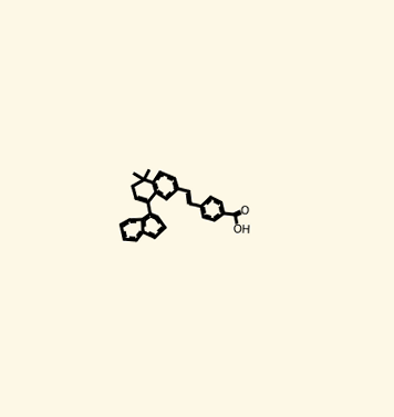 CC1(C)CC=C(c2cccc3ccccc23)c2cc(C=Cc3ccc(C(=O)O)cc3)ccc21